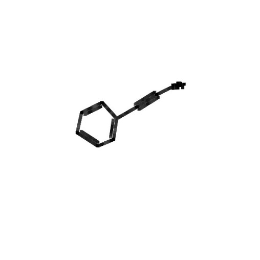 CCCC#Cc1ccccc1